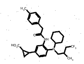 Cc1ccc(CC(=O)Nc2cc(C3CC3C(=O)O)ccc2N(CC(C)CC(F)(F)F)C2CCCCC2)cc1